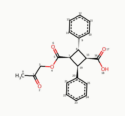 CC(=O)COC(=O)[C@H]1[C@H](c2ccccc2)[C@@H](C(=O)O)[C@H]1c1ccccc1